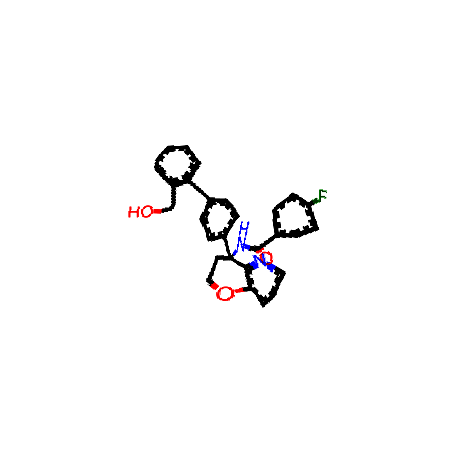 O=C(N[C@]1(c2ccc(-c3ccccc3CO)cc2)CCOc2cccnc21)c1ccc(F)cc1